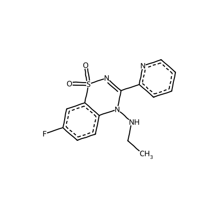 CCNN1C(c2ccccn2)=NS(=O)(=O)c2cc(F)ccc21